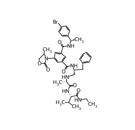 CCNC(=O)[C@@H](NC(=O)[C@H](C)NC[C@H](Cc1ccccc1)NC(=O)c1cc(C(=O)N[C@H](C)c2ccc(Br)cc2)cc(N2C(=O)OCC2C)c1)C(C)C